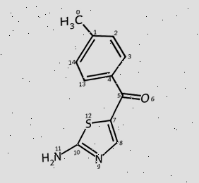 Cc1ccc(C(=O)c2cnc(N)s2)cc1